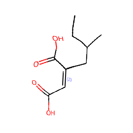 CCC(C)C/C(=C/C(=O)O)C(=O)O